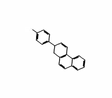 Nc1ccc(C2C=Cc3c(ccc4ccccc34)C2)cc1